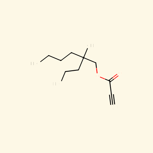 C#CC(=O)OCC(C)(CCC)CCCC